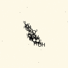 CO[C@@H]1C[C@H]2[C@@H](CC[C@@H]3C[C@](C)(O)CC[C@@H]32)[C@@H]2CC[C@H](C(=O)Cn3cc(C)cn3)[C@@]12C